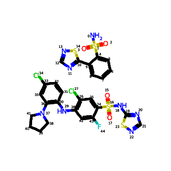 NS(=O)(=O)c1ccccc1-c1ncns1.O=S(=O)(Nc1ncns1)c1cc(Cl)c(Nc2ccc(Cl)cc2N2CCCC2)cc1F